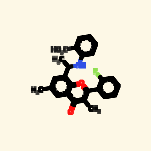 Cc1cc(C(C)Nc2ccccc2C(=O)O)c2oc(-c3ccccc3F)c(C)c(=O)c2c1